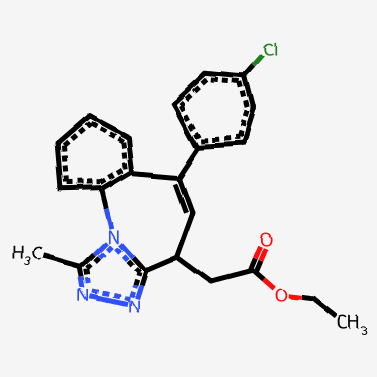 CCOC(=O)CC1C=C(c2ccc(Cl)cc2)c2ccccc2-n2c(C)nnc21